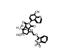 CC12OC(CCOC3=NS(=O)(=O)c4ccccc43)(C[C@H]1O)[C@@H]1C(=O)N(c3ccc(C#N)c4ncccc34)C(=O)[C@@H]12